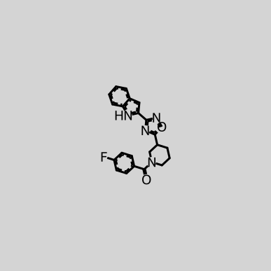 O=C(c1ccc(F)cc1)N1CCCC(c2nc(-c3cc4ccccc4[nH]3)no2)C1